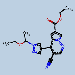 CCOC(=O)c1cc2c(-c3cnn(C(C)OCC)c3)c(C#N)cnn2c1